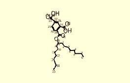 CCCCCCCCC(CCCCCCC)OC(=O)c1ccc(C(=O)O)cc1C(=O)O